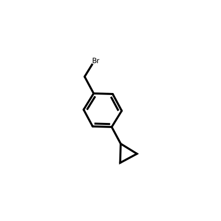 BrCc1ccc(C2CC2)cc1